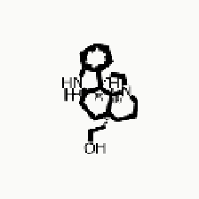 OCC[C@]12CCCN3CC[C@]4(c5ccccc5N[C@@H]4CC1)[C@H]32